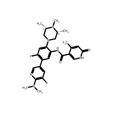 C[C@@H]1CN(c2cc(F)c(-c3cnc(N(C)C)c(F)c3)cc2NC(=O)c2c[nH]c(=O)cc2C(F)(F)F)C[C@H](C)N1C